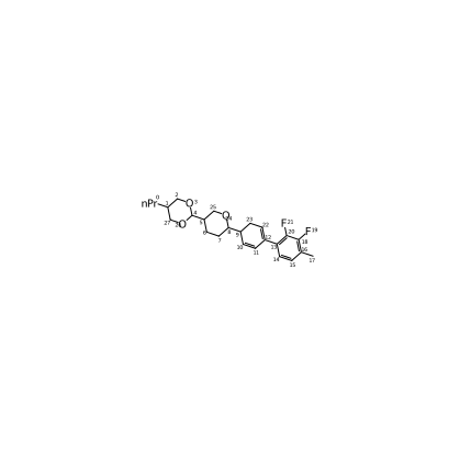 CCCC1COC(C2CCC(C3C=CC(c4ccc(C)c(F)c4F)=CC3)OC2)OC1